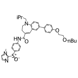 CCCCOCCOc1ccc(-c2ccc3c(c2)C=C(C(=O)Nc2ccc([S+]([O-])c4nccn4C)cc2)CCN3CC(C)C)cc1